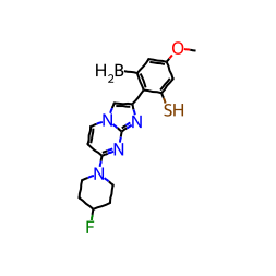 Bc1cc(OC)cc(S)c1-c1cn2ccc(N3CCC(F)CC3)nc2n1